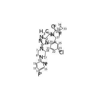 CC1c2nnc(N3CCN(c4ccc(F)cn4)CC3)n2-c2ccc(Cl)cc2CN1C(=O)C1(F)CC1